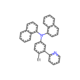 CCc1ccc(N(c2cccc3ccccc23)c2cccc3ccccc23)cc1-c1ccccn1